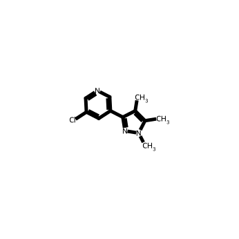 Cc1c(-c2cncc(Cl)c2)nn(C)c1C